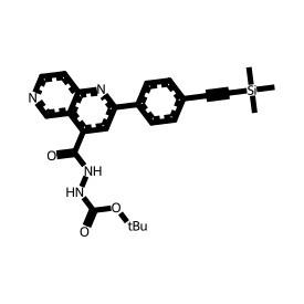 CC(C)(C)OC(=O)NNC(=O)c1cc(-c2ccc(C#C[Si](C)(C)C)cc2)nc2ccncc12